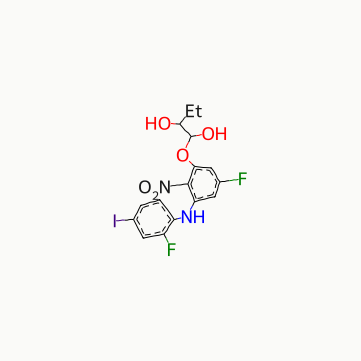 CCC(O)C(O)Oc1cc(F)cc(Nc2ccc(I)cc2F)c1[N+](=O)[O-]